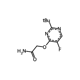 CC(C)(C)c1ncc(F)c(OCC(N)=O)n1